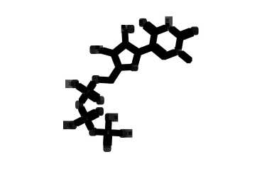 Cn1cc(C2OC(COP(=O)(O)OP(=O)(O)OP(=O)(O)O)C(N=O)C2N=O)c(=O)[nH]c1=O